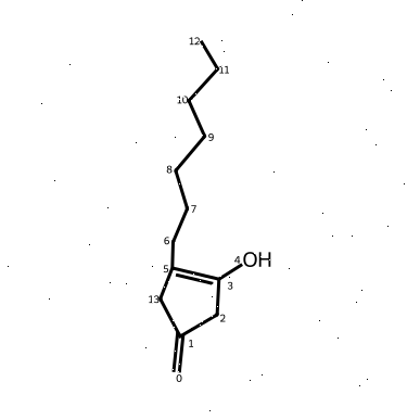 C=C1CC(O)=C(CCCCCCC)C1